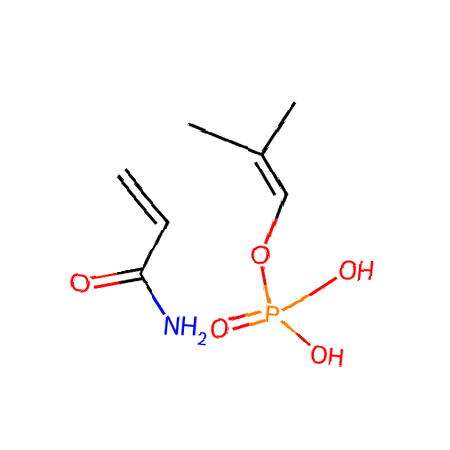 C=CC(N)=O.CC(C)=COP(=O)(O)O